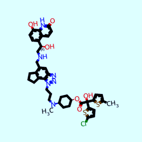 Cc1ccc(C(O)(C(=O)O[C@H]2CC[C@H](N(C)CCCn3nnc4cc(CNC[C@H](O)c5ccc(O)c6[nH]c(=O)ccc56)c5c(c43)CCC5)CC2)c2ccc(Cl)s2)s1